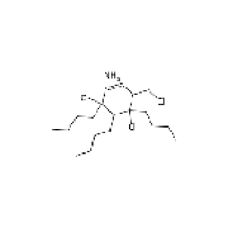 CCCCC1C(Cl)(CCCC)C=CC(CCl)C1(Cl)CCCC.N